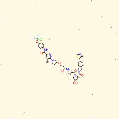 Cc1ncsc1-c1ccc(CNC(=O)[C@@H]2C[C@@H](O)CN2C(=O)C(C)(C)[C@H](C)NC(=O)CCOC2CCN(c3ncc(C(=O)Nc4ccc(OC(F)(F)Cl)cc4)cc3Br)C2)cc1